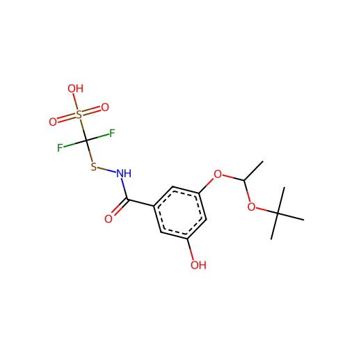 CC(Oc1cc(O)cc(C(=O)NSC(F)(F)S(=O)(=O)O)c1)OC(C)(C)C